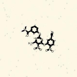 CN(C)C(=O)c1cccc(Oc2nc(N)c([N+](=O)[O-])c(Oc3cc(C#N)ccc3[N+](=O)[O-])n2)c1